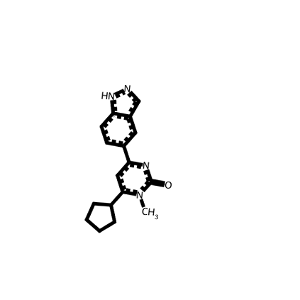 Cn1c(C2CCCC2)cc(-c2ccc3[nH]ncc3c2)nc1=O